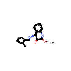 Cc1ccccc1CNC1C(=O)C(OC(=O)O)=Nc2ccccc21